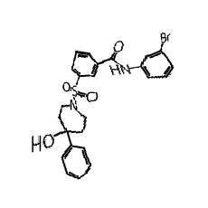 O=C(Nc1cccc(Br)c1)c1cccc(S(=O)(=O)N2CCC(O)(c3ccccc3)CC2)c1